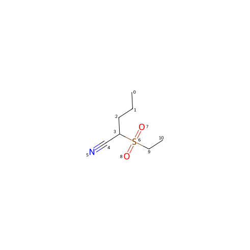 CCCC(C#N)S(=O)(=O)CC